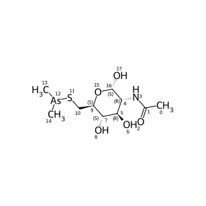 CC(=O)N[C@@H]1[C@@H](O)[C@H](O)[C@@H](CS[As](C)C)O[C@@H]1O